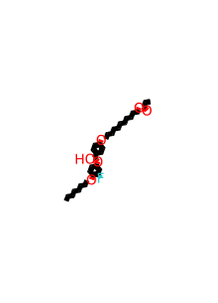 C=CC(=O)OCCCCCCCCCCCOc1ccc(C(O)Oc2ccc(OCCCCCCCC)c(F)c2)cc1